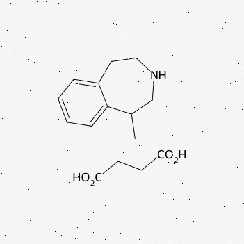 CC1CNCCc2ccccc21.O=C(O)CCC(=O)O